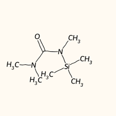 CN(C)C(=O)N(C)[Si](C)(C)C